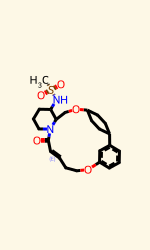 CS(=O)(=O)NC1CCCN2C(=O)/C=C/CCOc3cccc(c3)C3CCC(CC3)OCC12